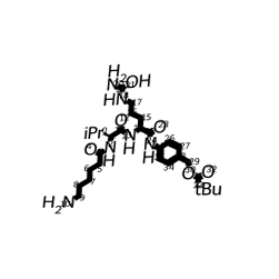 CC(C)[C@H](NC(=O)CCCCCN)C(=O)NC(CCCNC(N)O)C(=O)Nc1ccc(COC(=O)C(C)(C)C)cc1